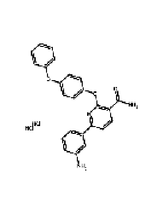 Cl.Cl.NC(=O)c1ccc(-c2cccc(N)c2)nc1Oc1ccc(Oc2ccccc2)cc1